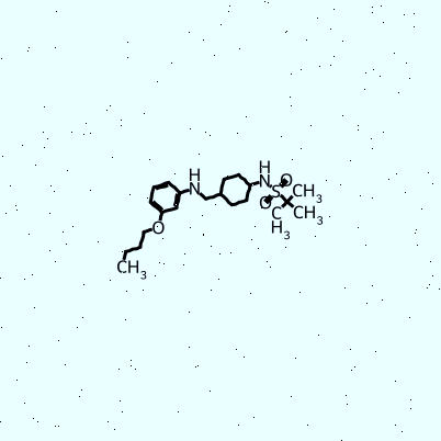 CCCCOc1cccc(NCC2CCC(NS(=O)(=O)C(C)(C)C)CC2)c1